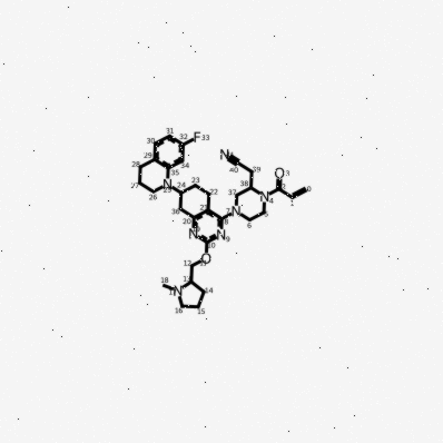 C=CC(=O)N1CCN(c2nc(OCC3CCCN3C)nc3c2CCC(N2CCCc4ccc(F)cc42)C3)CC1CC#N